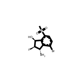 B[C@H]1c2c(Br)ccc(S(C)(=O)=O)c2[C@H](O)[C@@H]1F